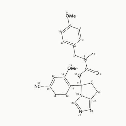 COc1ccc(CN(C)C(=O)OC2(c3ccc(C#N)cc3OC)CCc3cncn32)cc1